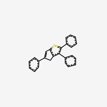 C1=C(c2ccccc2)Cc2c1sc(-c1ccccc1)c2-c1ccccc1